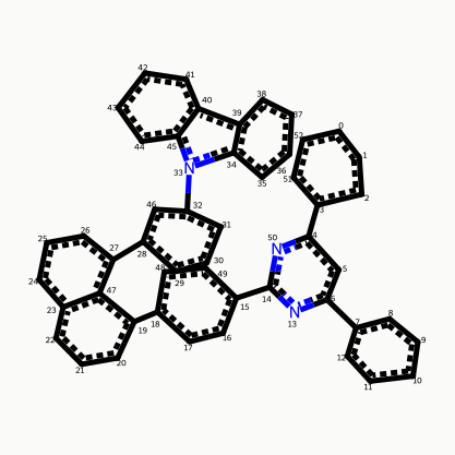 c1ccc(-c2cc(-c3ccccc3)nc(-c3ccc(-c4cccc5cccc(-c6cccc(-n7c8ccccc8c8ccccc87)c6)c45)cc3)n2)cc1